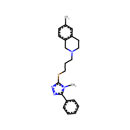 Cn1c(SCCCN2CCc3cc(C(F)(F)F)ccc3C2)nnc1-c1ccccc1